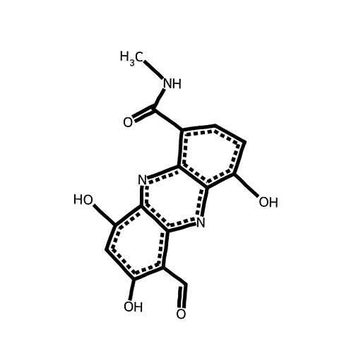 CNC(=O)c1ccc(O)c2nc3c(C=O)c(O)cc(O)c3nc12